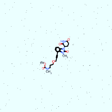 CN(CCCOCC#Cc1cccc2c1n(C)c(=O)n2C1CCC(=O)NC1=O)C(=O)OC(C)(C)C